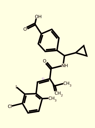 C=C(C)/C(=C\c1c(C)ccc(Cl)c1I)C(=O)NC(c1ccc(C(=O)O)cc1)C1CC1